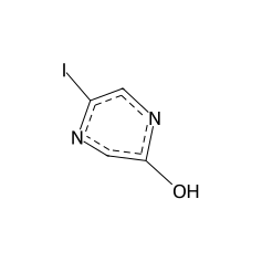 Oc1cnc(I)cn1